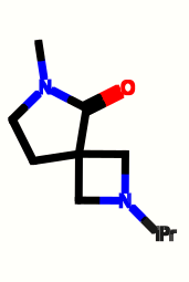 CC(C)N1CC2(CCN(C)C2=O)C1